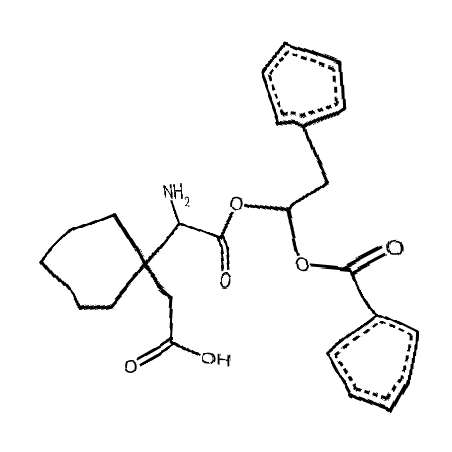 NC(C(=O)OC(Cc1ccccc1)OC(=O)c1ccccc1)C1(CC(=O)O)CCCCC1